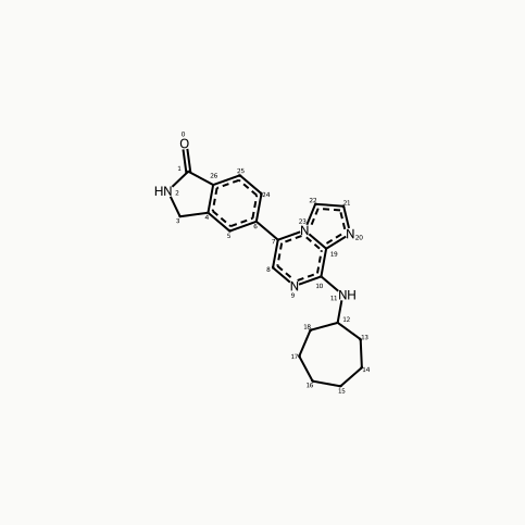 O=C1NCc2cc(-c3cnc(NC4CCCCCC4)c4nccn34)ccc21